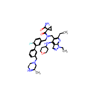 CCc1nc2c(cnn2CC)c(NC2CCOCC2)c1CN(Cc1ccc(F)c(-c2cccc(CN3CCN[C@@H](C)C3)c2)c1)C(=O)C1(C(N)=O)CC1